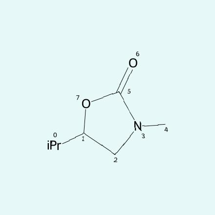 CC(C)C1CN(C)C(=O)O1